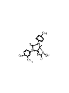 [C-]#[N+]c1ccc(N2C(=S)N(c3ccc(O)cc3)C(C)(C)C2=NC(=O)OC(C)(C)C)cc1C(F)(F)F